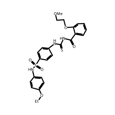 CCOc1ccc(NS(=O)(=O)c2ccc(NC(=S)NC(=O)c3ccccc3OCCOC)cc2)cc1